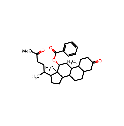 COC(=O)CCC(C)C1CCC2C3CCC4CC(=O)CC[C@]4(C)C3C[C@H](OC(=O)c3ccccc3)[C@]12C